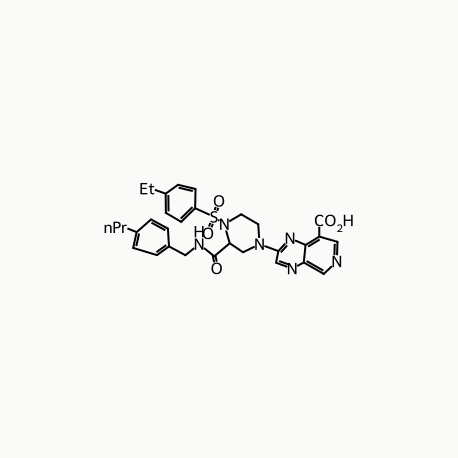 CCCc1ccc(CNC(=O)C2CN(c3cnc4cncc(C(=O)O)c4n3)CCN2S(=O)(=O)c2ccc(CC)cc2)cc1